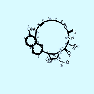 COc1ccc2ccc3cc2c1CC=CCCCOC(=O)N[C@@H](C(C)(C)C)C(=O)N1C[C@@]3(OC)C[C@H]1C=O